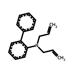 C=CCN(CC=C)c1ccccc1-c1ccccc1